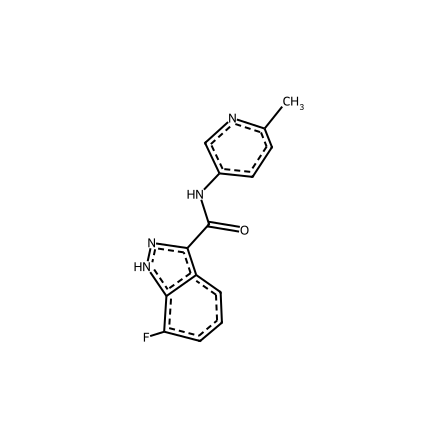 Cc1ccc(NC(=O)c2n[nH]c3c(F)cccc23)cn1